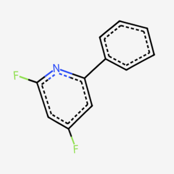 Fc1cc(F)nc(-c2ccccc2)c1